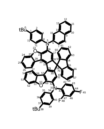 CC(C)(C)c1ccc(N(c2ccc3ccccc3c2)c2cc3c(c4c2oc2ccccc24)-c2c(cc(N(c4ccc(C(C)(C)C)cc4)c4ccc(F)cc4F)c4oc5ccccc5c24)C32c3ccccc3-c3ccccc32)cc1